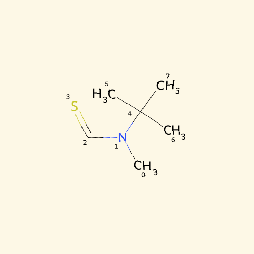 CN(C=S)C(C)(C)C